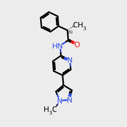 C[C@H](C(=O)Nc1ccc(-c2cnn(C)c2)cn1)c1ccccc1